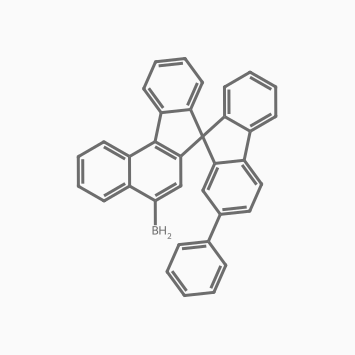 Bc1cc2c(c3ccccc13)-c1ccccc1C21c2ccccc2-c2ccc(-c3ccccc3)cc21